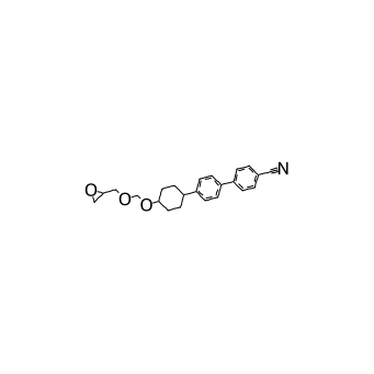 N#Cc1ccc(-c2ccc(C3CCC(OCOCC4CO4)CC3)cc2)cc1